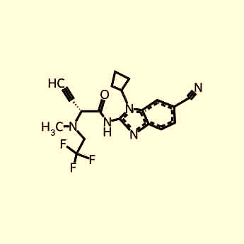 C#C[C@H](C(=O)Nc1nc2ccc(C#N)cc2n1C1CCC1)N(C)CC(F)(F)F